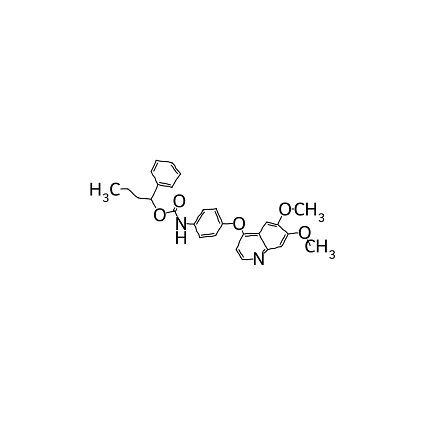 CCCC(OC(=O)Nc1ccc(Oc2ccnc3cc(OC)c(OC)cc23)cc1)c1ccccc1